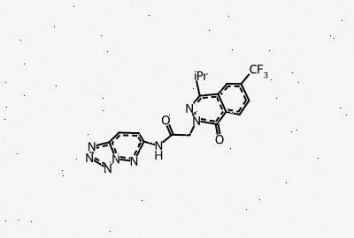 CC(C)c1nn(CC(=O)Nc2ccc3nnnn3n2)c(=O)c2ccc(C(F)(F)F)cc12